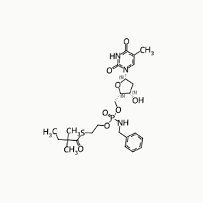 CCC(C)(C)C(=O)SCCOP(=O)(NCc1ccccc1)OC[C@@H]1O[C@H](n2cc(C)c(=O)[nH]c2=O)C[C@@H]1O